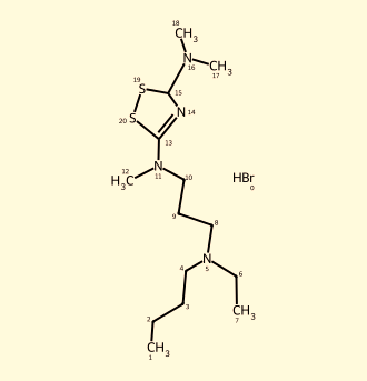 Br.CCCCN(CC)CCCN(C)C1=NC(N(C)C)SS1